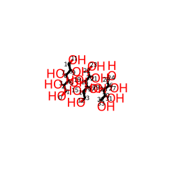 OCC(O)C(O)C(O)C(O)CO.OCC(O)C(O)C(O)C(O)CO.OCC(O)C(O)C(O)CO